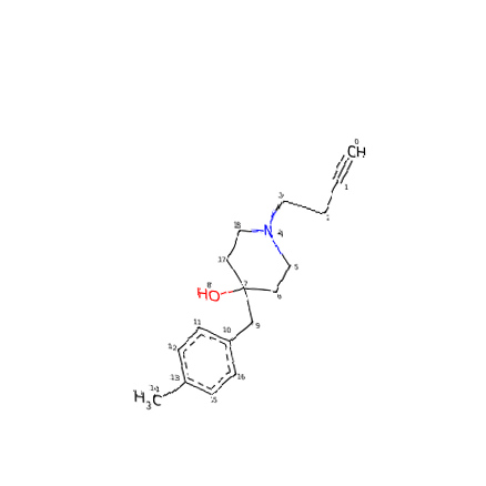 C#CCCN1CCC(O)(Cc2ccc(C)cc2)CC1